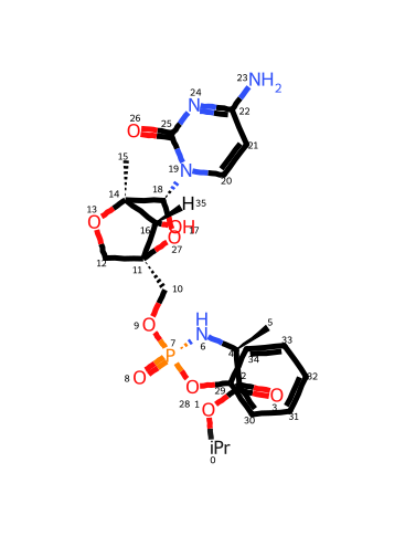 CC(C)OC(=O)[C@H](C)N[P@](=O)(OC[C@]12CO[C@](C)([C@@H]1O)[C@H](n1ccc(N)nc1=O)O2)Oc1ccccc1